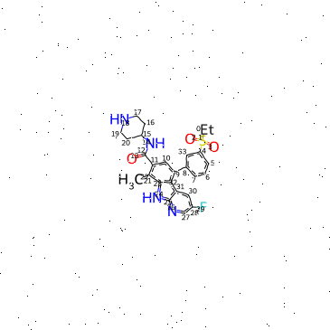 CCS(=O)(=O)c1cccc(-c2cc(C(=O)NC3CCNCC3)c(C)c3[nH]c4ncc(F)cc4c23)c1